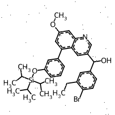 CCc1cc(C(O)c2cnc3cc(OC)cc(-c4cccc(O[Si](C(C)C)(C(C)C)C(C)C)c4)c3c2)ccc1Br